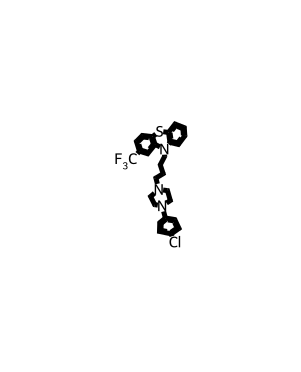 FC(F)(F)c1ccc2c(c1)N(CCCCN1CCN(c3ccc(Cl)cc3)CC1)c1ccccc1S2